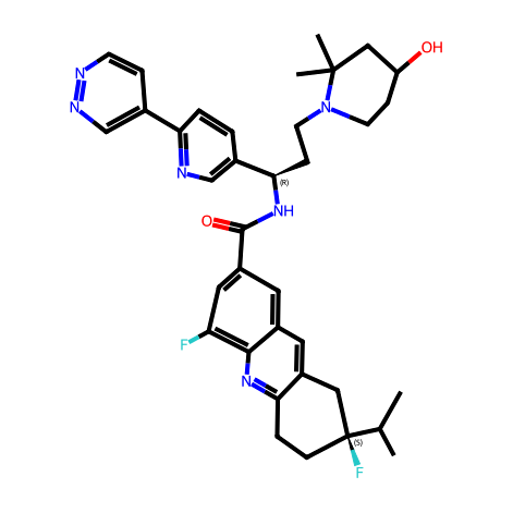 CC(C)[C@]1(F)CCc2nc3c(F)cc(C(=O)N[C@H](CCN4CCC(O)CC4(C)C)c4ccc(-c5ccnnc5)nc4)cc3cc2C1